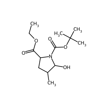 CCOC(=O)C1CC(C)C(O)N1C(=O)OC(C)(C)C